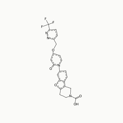 O=C(O)N1CCc2oc3cc(-n4ccc(OCc5ccc(C(F)(F)F)nn5)cc4=O)ccc3c2C1